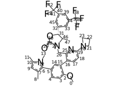 COc1ccc(-c2c(C)cc(C)n2C)cc1-c1ccc(N2CCC2)nc1CN1C(=O)O[C@H](c2cc(C(F)(F)F)cc(C(F)(F)F)c2)C1C